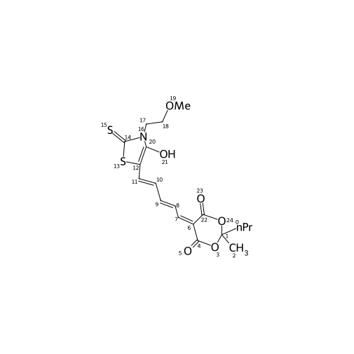 CCCC1(C)OC(=O)C(=C/C=C/C=C/c2sc(=S)n(CCOC)c2O)C(=O)O1